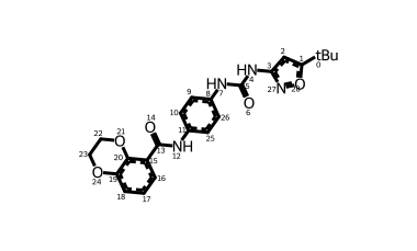 CC(C)(C)c1cc(NC(=O)Nc2ccc(NC(=O)c3cccc4c3OCCO4)cc2)no1